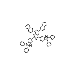 c1ccc(-c2nc3cc(-c4nc(-c5ccc6c(c5)nc(-c5ccccc5)n6-c5ccccc5)c5cc(-c6ccc7ccccc7c6)cc(-c6ccc7ccccc7c6)c5n4)ccc3n2-c2ccccc2)cc1